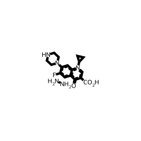 NN.O=C(O)c1cn(C2CC2)c2cc(N3CCNCC3)c(F)cc2c1=O